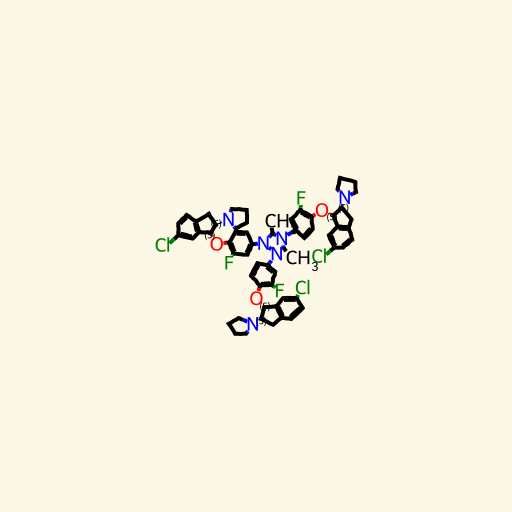 CC1N(c2ccc(O[C@H]3c4cc(Cl)ccc4C[C@@H]3N3CCCC3)c(F)c2)C(C)N(c2ccc(O[C@H]3c4cc(Cl)ccc4C[C@@H]3N3CCCC3)c(F)c2)N1c1ccc(O[C@H]2c3cc(Cl)ccc3C[C@@H]2N2CCCC2)c(F)c1